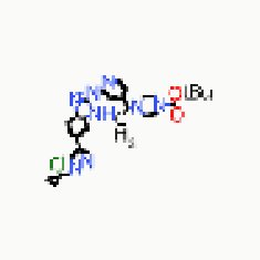 CC(c1ccnc(NC2=NC3C=CC(c4cnn(CC5(Cl)CC5)c4)=CC3N2)c1)N1CCN(C(=O)OC(C)(C)C)CC1